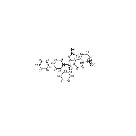 O=C([C@@H]1CNC[C@]12CCCc1c2ccc[n+]1[O-])N1CC[C@@H](c2ccccc2)C[C@H]1C1CCCCC1